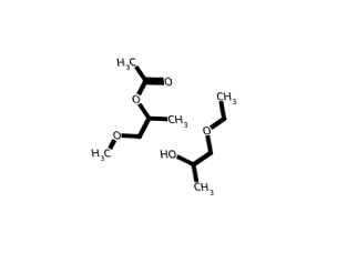 CCOCC(C)O.COCC(C)OC(C)=O